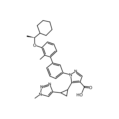 Cc1c(O[C@@H](C)C2CCCCC2)cccc1-c1cccc(-n2ncc(C(=O)O)c2C2CC2c2cn(C)nn2)c1